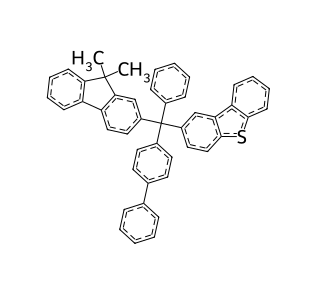 CC1(C)c2ccccc2-c2ccc(C(c3ccccc3)(c3ccc(-c4ccccc4)cc3)c3ccc4sc5ccccc5c4c3)cc21